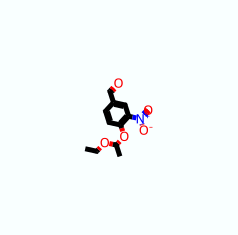 CCOC(C)Oc1ccc(C=O)cc1[N+](=O)[O-]